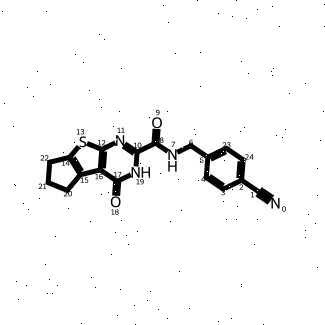 N#Cc1ccc(CNC(=O)c2nc3sc4c(c3c(=O)[nH]2)CCC4)cc1